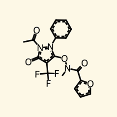 CC(=O)n1c(=O)c(C(F)(F)F)c(ON(C)C(=O)c2ccco2)n1-c1ccccc1